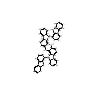 c1ccc2c(c1)sc1c(-n3c4ccccc4c4ccc5c(c43)Sc3ccc4c6ccccc6n(-c6cccc7c6sc6ccccc67)c4c3S5)cccc12